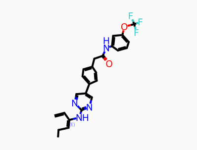 C=C/C(=C\CC)Nc1ncc(-c2ccc(CC(=O)Nc3cccc(OC(F)(F)F)c3)cc2)cn1